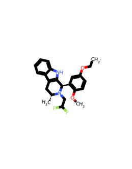 [CH2]COc1ccc(OC)c([C@@H]2c3[nH]c4ccccc4c3C[C@@H](C)N2CC(F)F)c1